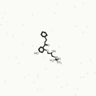 CCC(C)(C)NCC(O)COc1ccccc1C(=O)CCc1ccccc1.Cl